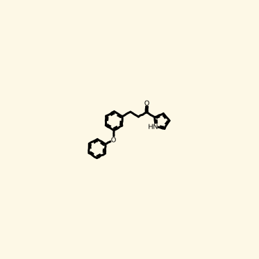 O=C(CCc1cccc(Oc2ccccc2)c1)c1ccc[nH]1